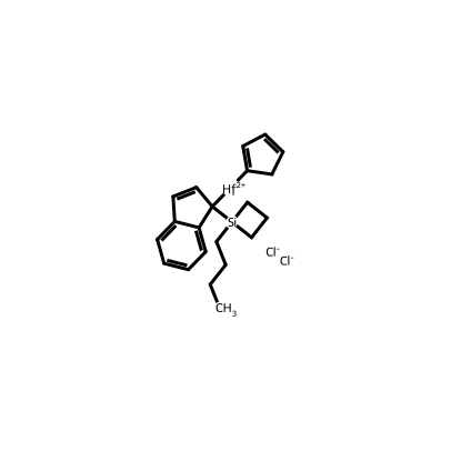 CCCC[Si]1([C]2([Hf+2][C]3=CC=CC3)C=Cc3ccccc32)CCC1.[Cl-].[Cl-]